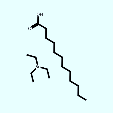 CCCCCCCCCCCC(=O)O.C[CH2][Sn]([CH2]C)[CH2]C